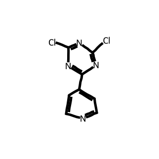 Clc1nc(Cl)nc(-c2ccncc2)n1